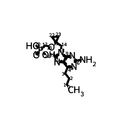 CCCCc1nc(N)nc2c1ncn2CC1(OCP(=O)(O)O)CC1